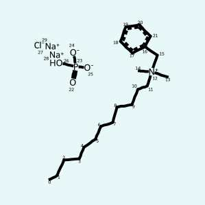 CCCCCCCCCCCC[N+](C)(C)Cc1ccccc1.O=P([O-])([O-])O.[Cl-].[Na+].[Na+]